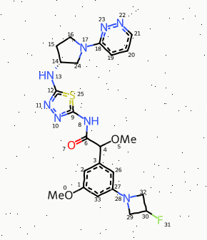 COc1cc(C(OC)C(=O)Nc2nnc(N[C@@H]3CCN(c4cccnn4)C3)s2)cc(N2CC(F)C2)c1